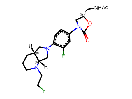 CC(=O)NC[C@H]1CN(c2ccc(N3C[C@H]4CCCN(CCF)[C@H]4C3)c(F)c2)C(=O)O1